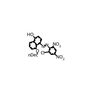 CCCCCCCCCCOc1cccc2c(O)ccc(/N=N/c3c(Cl)cc([N+](=O)[O-])cc3[N+](=O)[O-])c12